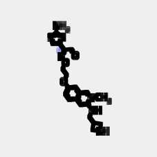 C[n+]1cc2cc(OCCO/N=C(\C=O)c3csc(N)n3)ccc2cc1NCC1CNC1